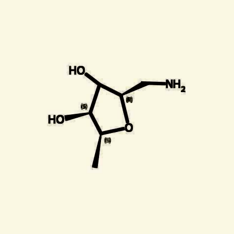 C[C@@H]1O[C@H](CN)C(O)[C@@H]1O